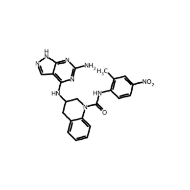 Cc1cc([N+](=O)[O-])ccc1NC(=O)N1CC(Nc2nc(N)nc3[nH]ncc23)Cc2ccccc21